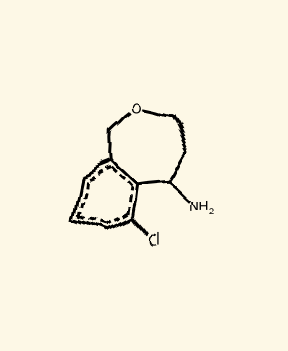 NC1CCOCc2cccc(Cl)c21